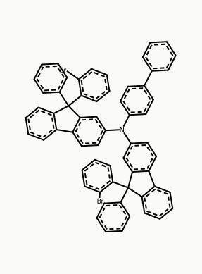 Brc1ccccc1C1(c2ccccc2)c2ccccc2-c2ccc(N(c3ccc(-c4ccccc4)cc3)c3ccc4c(c3)C(c3ccccc3)(c3ccccc3Br)c3ccccc3-4)cc21